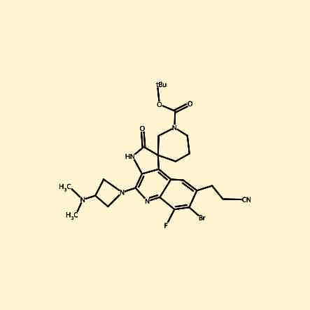 CN(C)C1CN(c2nc3c(F)c(Br)c(CCC#N)cc3c3c2NC(=O)C32CCCN(C(=O)OC(C)(C)C)C2)C1